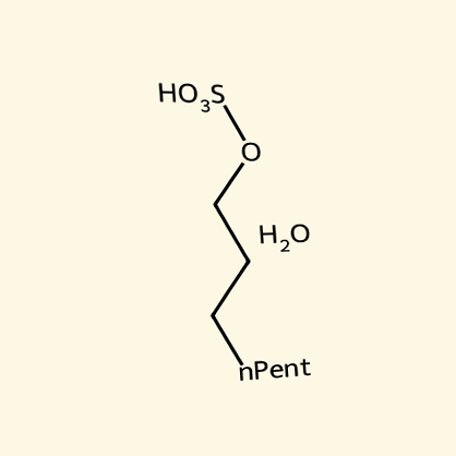 CCCCCCCCOS(=O)(=O)O.O